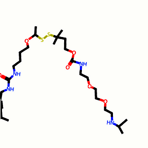 CC(C)C#CCNC(=O)NCCCCOC(C)SSC(C)(C)CCOC(=O)NCCOCCOCCNC(C)C